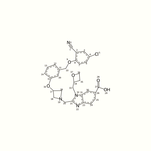 N#Cc1cc(Cl)ccc1OCc1cccc(OC2CN(Cc3nc4ccc(C(=O)O)cc4n3CC3CCO3)C2)c1